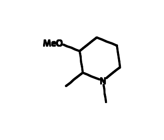 COC1CCCN(C)C1C